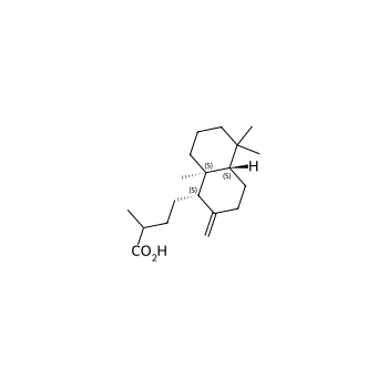 C=C1CC[C@H]2C(C)(C)CCC[C@]2(C)[C@H]1CCC(C)C(=O)O